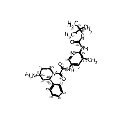 Cc1cc(NC(=O)C(=O)N2CC[C@H](N)C[C@@H]2c2ccccc2)cnc1NC(=O)OC(C)(C)C